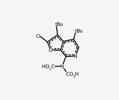 CC(C)(C)c1cnc(N(C(=O)O)C(=O)O)c2oc(Cl)c(C(C)(C)C)c12